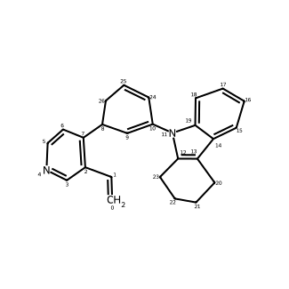 C=Cc1cnccc1C1C=C(n2c3c(c4ccccc42)CCCC3)C=CC1